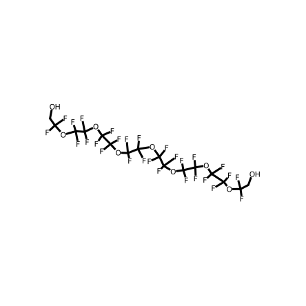 OCC(F)(F)OC(F)(F)C(F)(F)OC(F)(F)C(F)(F)OC(F)(F)C(F)(F)OC(F)(F)C(F)(F)OC(F)(F)C(F)(F)OC(F)(F)C(F)(F)OC(F)(F)CO